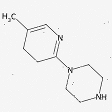 CC1=CN=C(N2CCNCC2)CC1